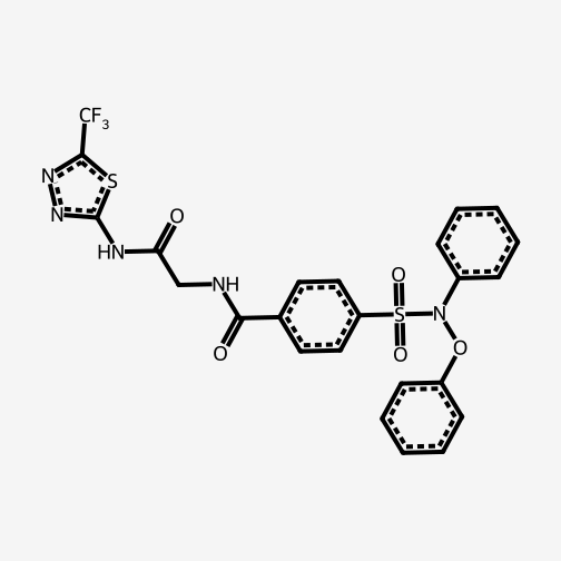 O=C(CNC(=O)c1ccc(S(=O)(=O)N(Oc2ccccc2)c2ccccc2)cc1)Nc1nnc(C(F)(F)F)s1